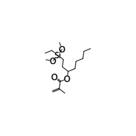 C=C(C)C(=O)OC(CCCCC)CC[Si](CC)(OC)OC